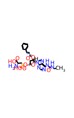 CCNC(=O)Nc1ncnc2c1ncn2[C@@H]1O[C@H](COP(=O)(O)CC(N)C(=O)O)C2O[C@H](/C=C/c3ccccc3)O[C@@H]21